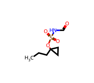 CCCC1(OS(=O)(=O)NC=O)CC1